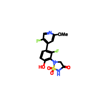 COc1cc(-c2ccc(O)c(N3CC(=O)NS3(=O)=O)c2F)c(F)cn1